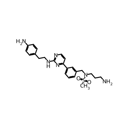 CS(=O)(=O)N(CCCN)Cc1cccc(-c2ccnc(NCCc3ccc(N)cc3)n2)c1